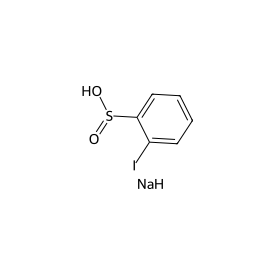 O=S(O)c1ccccc1I.[NaH]